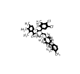 [2H]C1([2H])N(CC(C)[C@@H](c2cc(Cl)c(Cl)c(C)c2C)C(C)N(C)C(=O)c2ccc(C)c(C)c2C)C(C)(C)C([2H])(C)C(NC(C)=O)(c2cccc(C)c2C)C1([2H])[2H]